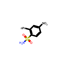 CCCc1cc([N+](=O)[O-])ccc1S(N)(=O)=O